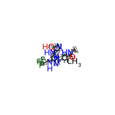 Cc1cc(-c2cnc3c(NCCC(F)(F)F)cc(Nc4ccncc4O)nn23)ccc1C(=O)NC1CC1